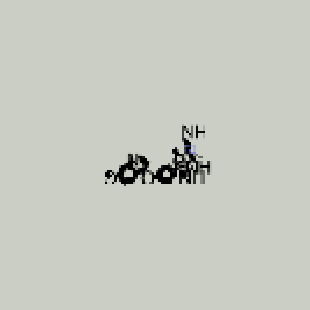 CN/C(=C\C=N)[C@H](C)N[S@@](=N)(=O)c1ccc(Oc2ccnc3cc(OC)ccc23)cc1